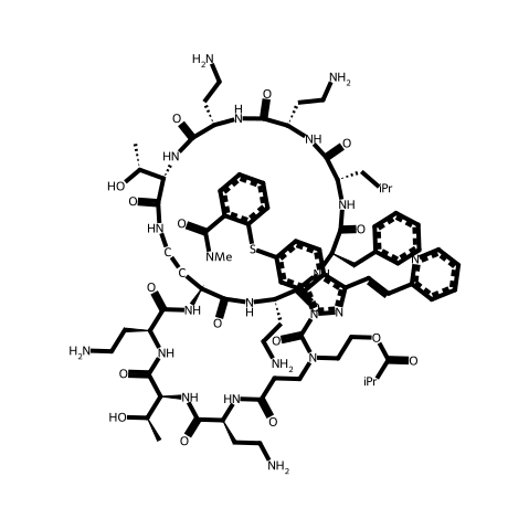 CNC(=O)c1ccccc1Sc1ccc2c(/C=C/c3ccccn3)nn(C(=O)N(CCOC(=O)C(C)C)CCC(=O)N[C@@H](CCN)C(=O)N[C@H](C(=O)N[C@@H](CCN)C(=O)N[C@H]3CCNC(=O)[C@H]([C@@H](C)O)NC(=O)[C@H](CCN)NC(=O)[C@H](CCN)NC(=O)[C@H](CC(C)C)NC(=O)[C@@H](Cc4ccccc4)NC(=O)[C@H](CCN)NC3=O)[C@@H](C)O)c2c1